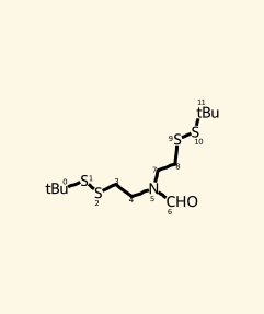 CC(C)(C)SSCCN(C=O)CCSSC(C)(C)C